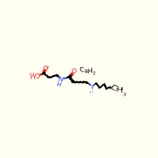 CCCCCNCCC(=O)NCCC(=O)O.[CaH2]